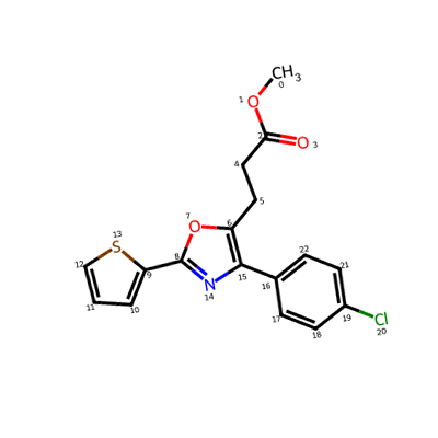 COC(=O)CCc1oc(-c2cccs2)nc1-c1ccc(Cl)cc1